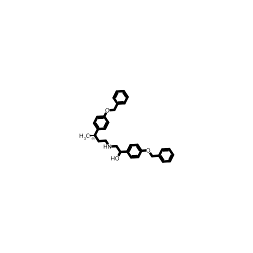 C[C@H](CCNCC(O)c1ccc(OCc2ccccc2)cc1)c1ccc(OCc2ccccc2)cc1